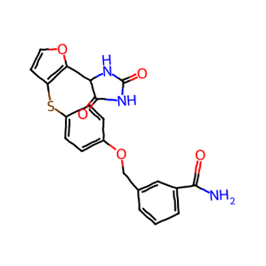 NC(=O)c1cccc(COc2ccc(Sc3ccoc3C3NC(=O)NC3=O)cc2)c1